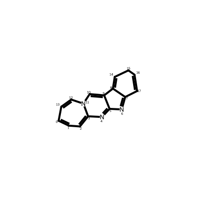 C1=CC=c2nc3nc4c(c-3cn2C=C1)=CCC=C4